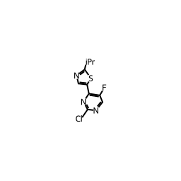 CC(C)c1ncc(-c2nc(Cl)ncc2F)s1